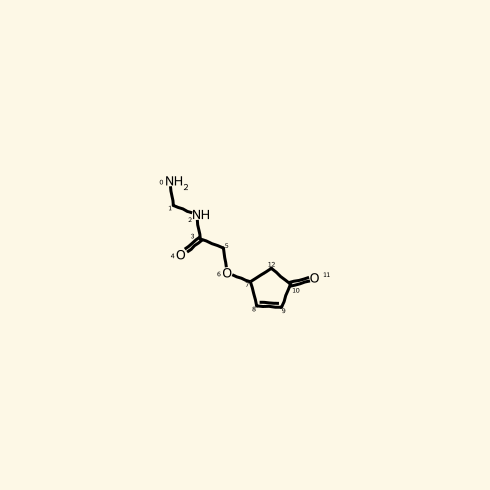 NCNC(=O)COC1C=CC(=O)C1